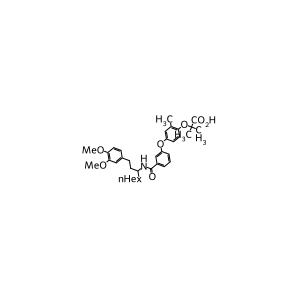 CCCCCCC(CCc1ccc(OC)c(OC)c1)NC(=O)c1cccc(Oc2ccc(OC(C)(C)C(=O)O)c(C)c2)c1